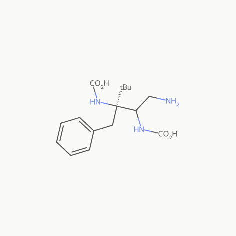 CC(C)(C)[C@](Cc1ccccc1)(NC(=O)O)C(CN)NC(=O)O